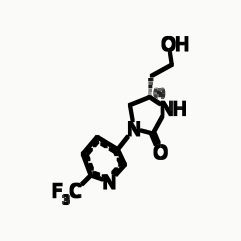 O=C1N[C@@H](CCO)CN1c1ccc(C(F)(F)F)nc1